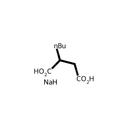 CCCCC(CC(=O)O)C(=O)O.[NaH]